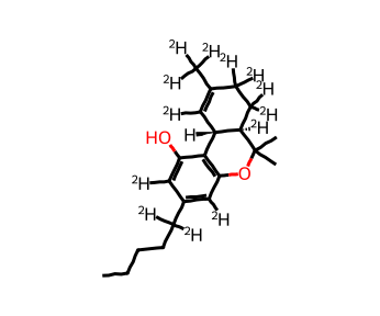 [2H]C1=C(C([2H])([2H])[2H])C([2H])([2H])C([2H])([2H])[C@]2([2H])[C@@H]1c1c(O)c([2H])c(C([2H])([2H])CCCC)c([2H])c1OC2(C)C